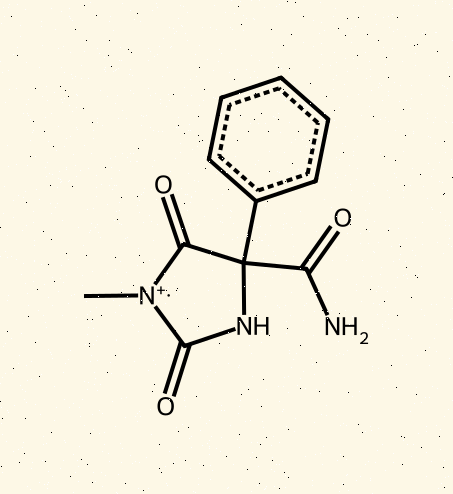 C[N+]1C(=O)NC(C(N)=O)(c2ccccc2)C1=O